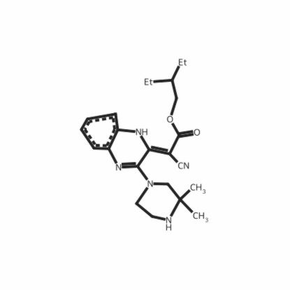 CCC(CC)COC(=O)C(C#N)=C1Nc2ccccc2N=C1N1CCNC(C)(C)C1